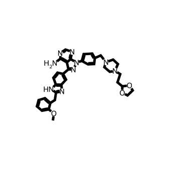 COc1ccccc1Cc1nc2cc(-c3nn(-c4ccc(CN5CCN(CCC6OCCO6)CC5)cc4)c4ncnc(N)c34)ccc2[nH]1